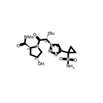 CNC(=O)[C@@H]1C[C@@H](O)CN1C(=O)[C@@H](n1cc(C2(S(N)(=O)=O)CC2)nn1)C(C)(C)C